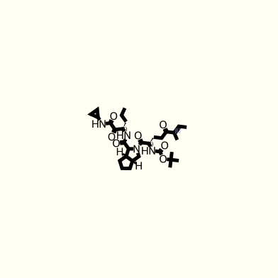 C/C=C(\C)C(=O)CC[C@H](NC(=O)OC(C)(C)C)C(=O)N1C[C@@H]2CCC[C@@H]2C1C(=O)N[C@@H](CCC)C(=O)C(=O)NC1CC1